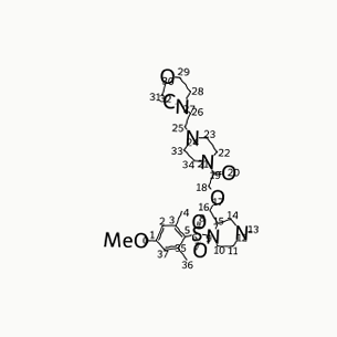 COc1cc(C)c(S(=O)(=O)N2CCN(C)CC2COCC(=O)N2CCN(CCN3CCOCC3)CC2)c(C)c1